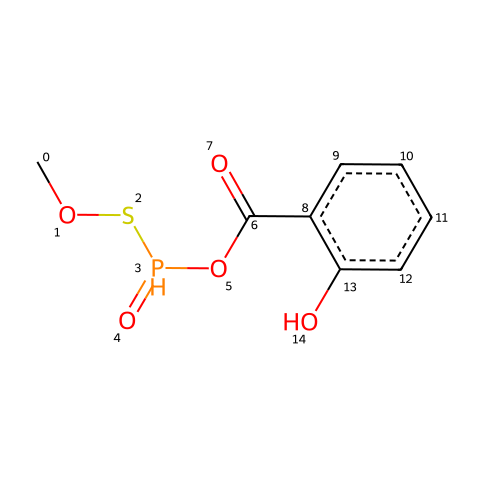 COS[PH](=O)OC(=O)c1ccccc1O